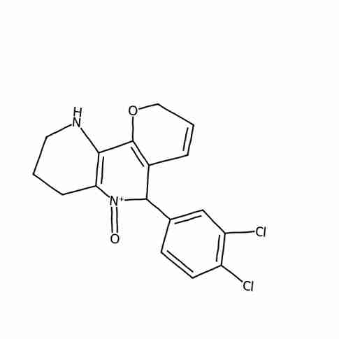 O=[N+]1C2=C(NCCC2)C2=C(C=CCO2)C1c1ccc(Cl)c(Cl)c1